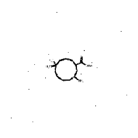 COC(=O)C1CCCC(C)(C)CCCCC(N)C1